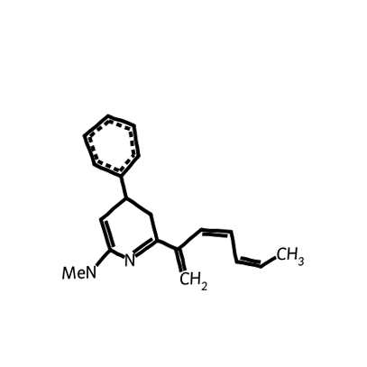 C=C(/C=C\C=C/C)C1=NC(NC)=CC(c2ccccc2)C1